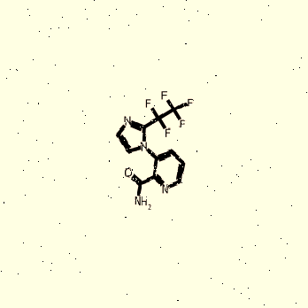 NC(=O)c1ncccc1-n1ccnc1C(F)(F)C(F)(F)F